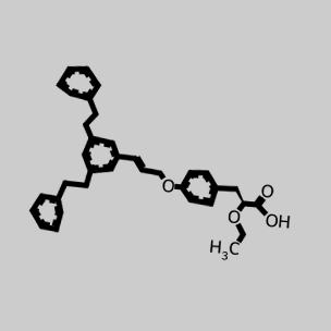 CCO[C@@H](Cc1ccc(OC/C=C/c2cc(CCc3ccccc3)cc(CCc3ccccc3)c2)cc1)C(=O)O